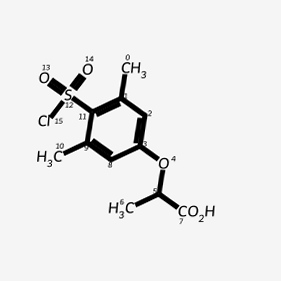 Cc1cc(OC(C)C(=O)O)cc(C)c1S(=O)(=O)Cl